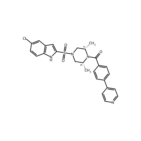 C[C@@H]1CN(S(=O)(=O)c2cc3cc(Cl)ccc3[nH]2)C[C@H](C)N1C(=O)c1ccc(-c2ccncc2)cc1